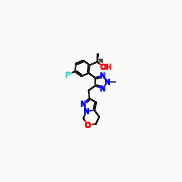 C[C@@H](O)c1ccc(F)cc1-c1nn(C)nc1Cc1cc2n(n1)COCC2